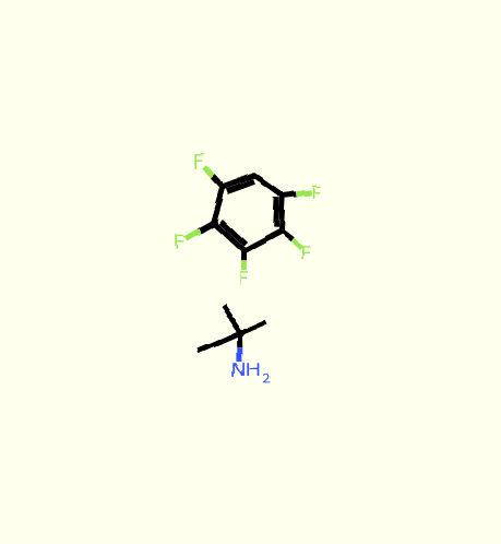 CC(C)(C)N.Fc1cc(F)c(F)c(F)c1F